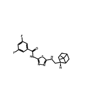 CC1(C)C2CC[C@@H](CNc3nnc(NC(=O)c4cc(F)cc(F)c4)s3)C1C2